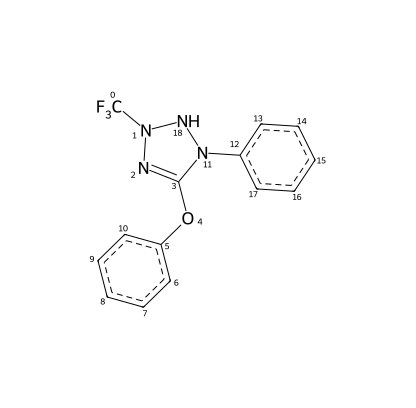 FC(F)(F)N1N=C(Oc2ccccc2)N(c2ccccc2)N1